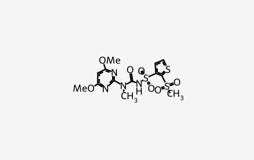 COc1cc(OC)nc(N(C)C(=O)NS(=O)(=O)c2ccsc2S(C)(=O)=O)n1